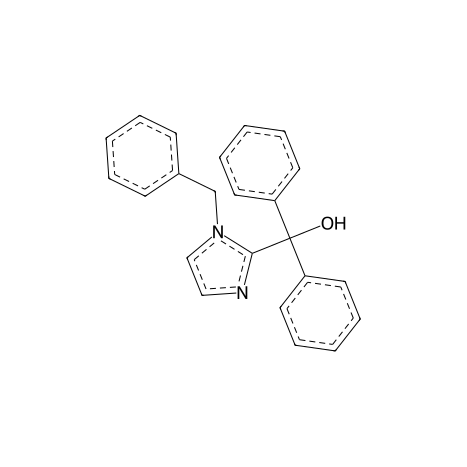 OC(c1ccccc1)(c1ccccc1)c1nccn1Cc1ccccc1